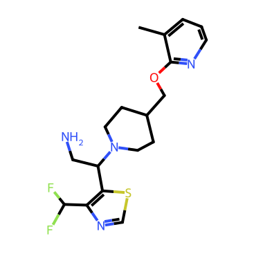 Cc1cccnc1OCC1CCN(C(CN)c2scnc2C(F)F)CC1